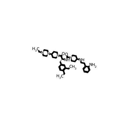 CCc1ccc(C[C@@H](NC(=O)N2CCC(NCCc3ccccc3N)CC2)C(=O)N2CCC(N3CCN(CC)CC3)CC2)cc1CC